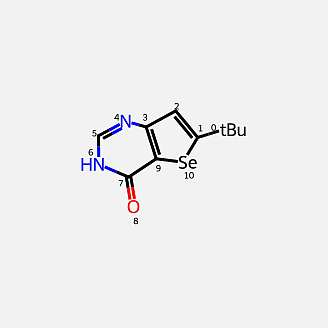 CC(C)(C)c1cc2nc[nH]c(=O)c2[se]1